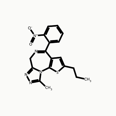 CCCc1cc2c(s1)-n1c(C)nnc1CN=C2c1ccccc1[N+](=O)[O-]